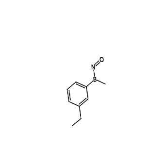 CCc1cccc(B(C)N=O)c1